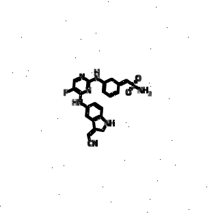 N#C/C=C1\CNc2ccc(Nc3nc(NC4=CC=C/C(=C\S(N)(=O)=O)C4)ncc3F)cc21